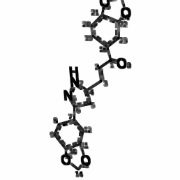 O=C(/C=C/c1cc(-c2ccc3c(c2)OCO3)n[nH]1)c1ccc2c(c1)OCO2